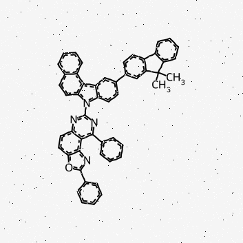 CC1(C)c2ccccc2-c2ccc(-c3ccc4c(c3)c3c5ccccc5ccc3n4-c3nc(-c4ccccc4)c4c(ccc5oc(-c6ccccc6)nc54)n3)cc21